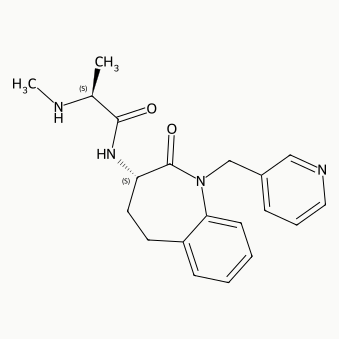 CN[C@@H](C)C(=O)N[C@H]1CCc2ccccc2N(Cc2cccnc2)C1=O